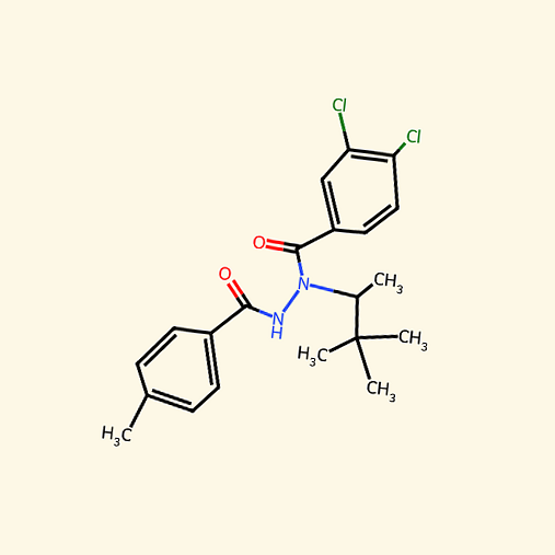 Cc1ccc(C(=O)NN(C(=O)c2ccc(Cl)c(Cl)c2)C(C)C(C)(C)C)cc1